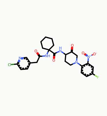 O=C(Cc1ccc(Cl)nc1)NC1(C(=O)NC2CCN(c3ccc(F)cc3[N+](=O)[O-])CC2=O)CCCCC1